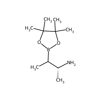 CC(B1OC(C)(C)C(C)(C)O1)[C@@H](C)N